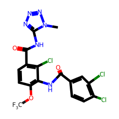 Cn1nnnc1NC(=O)c1ccc(OC(F)(F)F)c(NC(=O)c2ccc(Cl)c(Cl)c2)c1Cl